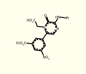 CCOC(=O)c1cc(-c2cnc(NC(C)C)c(=O)n2CC(=O)O)cc([N+](=O)[O-])c1